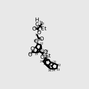 CCC(C)(I)C(=O)OCC(=O)OC1C2CC3C1OC(=O)C3C2C(=O)OC1(CC)CC23CC1C1C4CCC(C4)C2C13